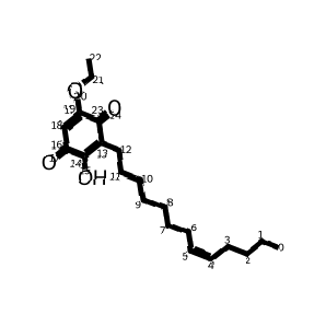 CCCC/C=C\CCCCCCCC1=C(O)C(=O)C=C(OCC)C1=O